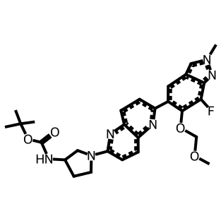 COCOc1c(-c2ccc3nc(N4CCC(NC(=O)OC(C)(C)C)C4)ccc3n2)cc2cn(C)nc2c1F